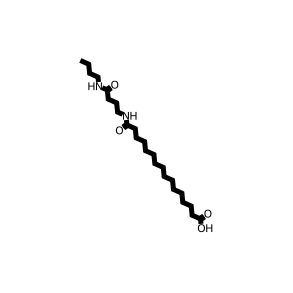 CCCCNC(=O)CCCNC(=O)CCCCCCCCCCCCCCC(=O)O